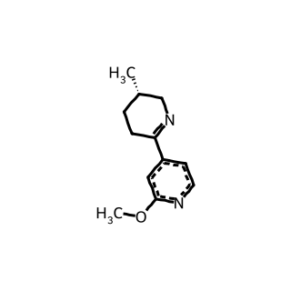 COc1cc(C2=NC[C@@H](C)CC2)ccn1